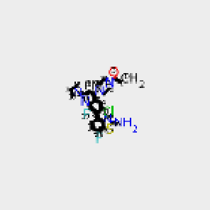 C=CC(=O)N1CCN(c2c(C#N)c(N3CCC3)nc3c(F)c(-c4ccc(F)c5sc(N)nc45)c(Cl)cc23)CC1